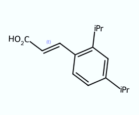 CC(C)c1ccc(/C=C/C(=O)O)c(C(C)C)c1